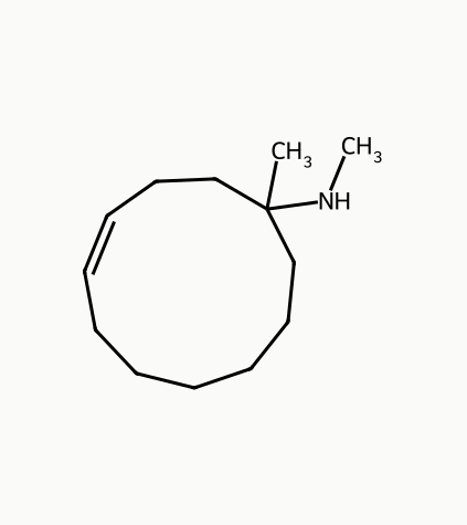 CNC1(C)CC/C=C\CCCCCC1